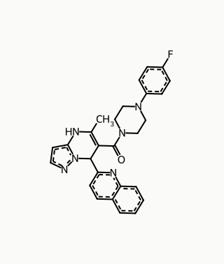 CC1=C(C(=O)N2CCN(c3ccc(F)cc3)CC2)C(c2ccc3ccccc3n2)n2nccc2N1